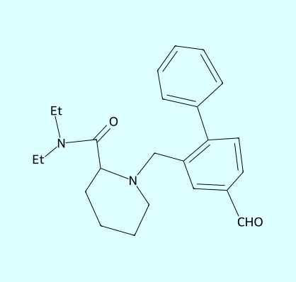 CCN(CC)C(=O)C1CCCCN1Cc1cc(C=O)ccc1-c1ccccc1